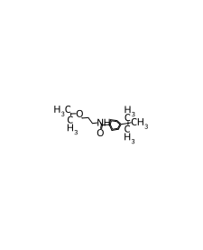 CC(C)OCCCNC(=O)c1ccc(C(C)(C)C)cc1